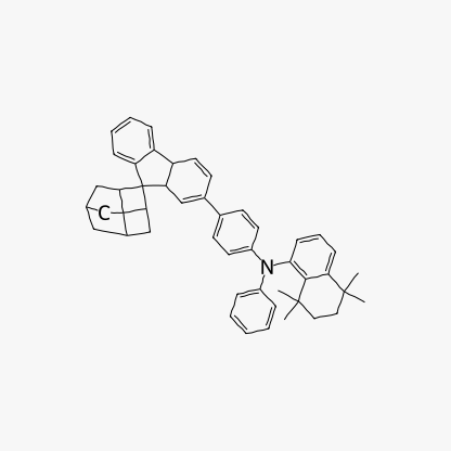 CC1(C)CCC(C)(C)c2c(N(c3ccccc3)c3ccc(C4=CC5C(C=C4)c4ccccc4C54C5CC6CC7CC4C75C6)cc3)cccc21